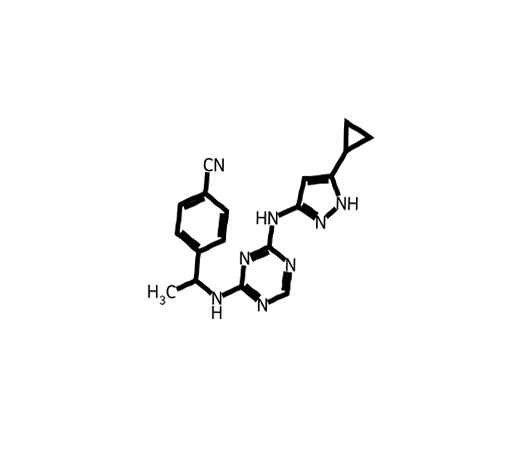 CC(Nc1ncnc(Nc2cc(C3CC3)[nH]n2)n1)c1ccc(C#N)cc1